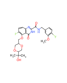 COc1cc(CNC(=O)c2nc3ccc(F)c(OCC4COC(C(C)(C)O)CO4)c3c(=O)[nH]2)ccc1F